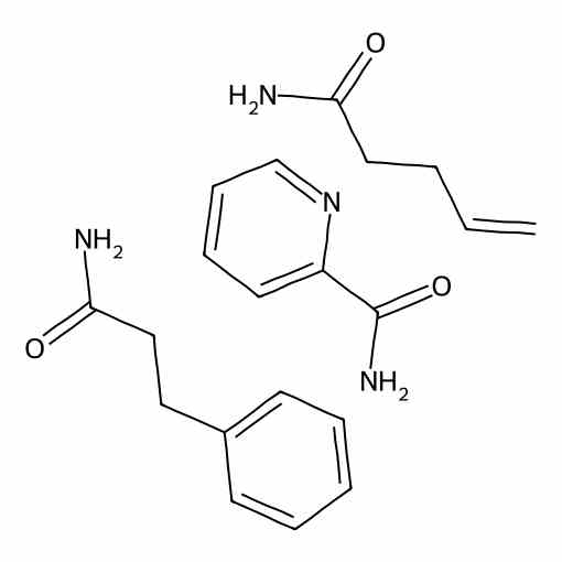 C=CCCC(N)=O.NC(=O)CCc1ccccc1.NC(=O)c1ccccn1